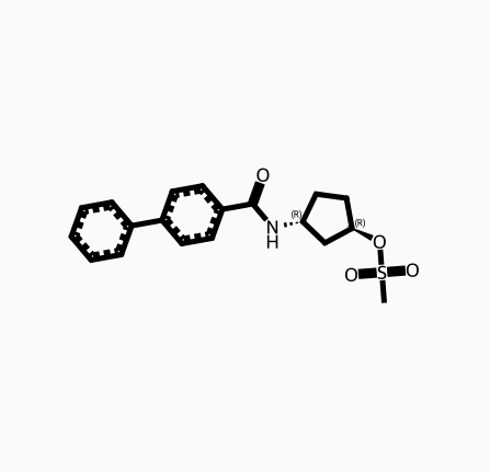 CS(=O)(=O)O[C@@H]1CC[C@@H](NC(=O)c2ccc(-c3ccccc3)cc2)C1